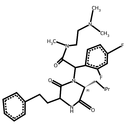 CC(C)C[C@@H]1C(=O)NC(CCc2ccccc2)C(=O)N1C(C(=O)N(C)CCN(C)C)c1ccc(F)cc1F